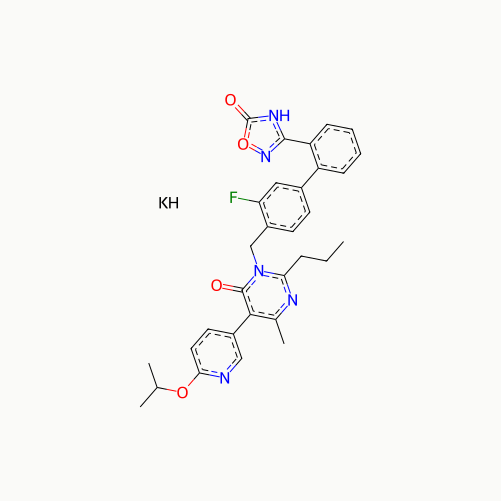 CCCc1nc(C)c(-c2ccc(OC(C)C)nc2)c(=O)n1Cc1ccc(-c2ccccc2-c2noc(=O)[nH]2)cc1F.[KH]